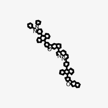 c1ccc(-c2nc3cc(-c4c5ccccc5c(-c5ccc6oc7cc8c(-c9ccnc%10c9ccc9ccc(-c%11ccc(-c%12c%13ccccc%13c(-c%13ccc%14oc%15cc%16ccccc%16cc%15c%14c%13)c%13ccccc%12%13)cc%11)nc9%10)cccc8cc7c6c5)c5ccccc45)ccc3n2-c2ccccc2)cc1